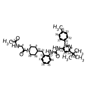 CC(=O)NCC(=O)N1CCC(Cc2ccccc2NC(=O)Nc2cc(C(C)(C)C)nn2-c2ccc(C)cc2)CC1